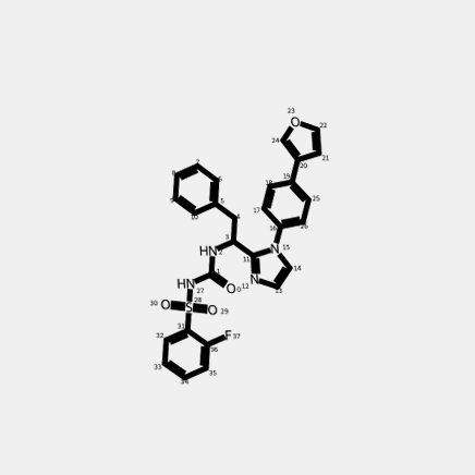 O=C(NC(Cc1ccccc1)c1nccn1-c1ccc(-c2ccoc2)cc1)NS(=O)(=O)c1ccccc1F